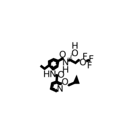 CCc1ccc(C(=O)N[C@H](CO)CCOC(F)(F)F)cc1NC(=O)c1cccnc1OCC1CC1